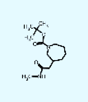 CNC(=O)CC1CCCCN(C(=O)OC(C)(C)C)C1